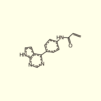 C=CC(=O)Nc1ccc(-c2ncnc3[nH]ccc23)cc1